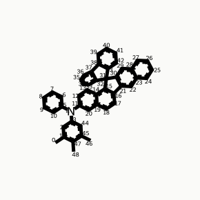 Cc1cc(N(c2ccccc2)c2ccc3c4c(ccc3c2)-c2cc3ccccc3cc2C42c3ccccc3-c3ccccc32)cc(C)c1C